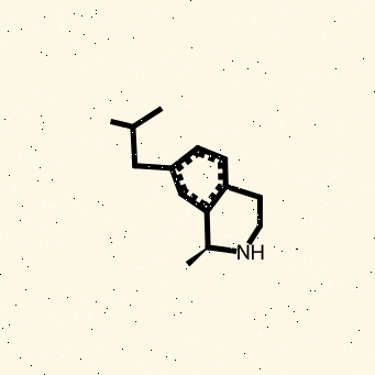 CC(C)Cc1ccc2c(c1)[C@H](C)NCC2